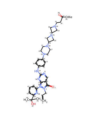 C=CCn1c(=O)c2cnc(Nc3ccc(N4CCN(C5CN(C6CN(CCC(=O)OC)C6)C5)CC4)cc3)nc2n1-c1cccc(C(C)(C)O)n1